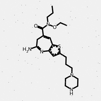 CCCN(OCC)C(=O)C1=Cc2sc(CCCN3CCNCC3)cc2N=C(N)C1